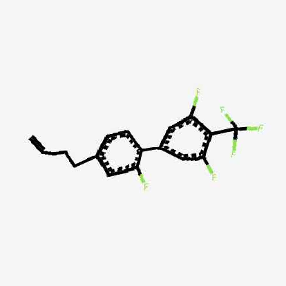 C=CCCc1ccc(-c2cc(F)c(C(F)(F)F)c(F)c2)c(F)c1